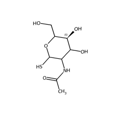 CC(=O)NC1C(S)OC(CO)[C@@H](O)C1O